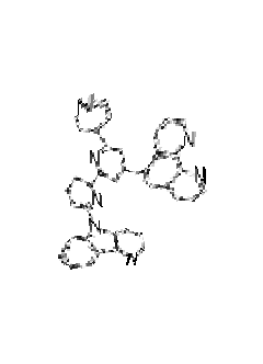 c1cc(-c2cc(-c3cc4cccnc4c4ncccc34)cc(-c3ccncc3)n2)nc(-n2c3ccccc3c3ncccc32)c1